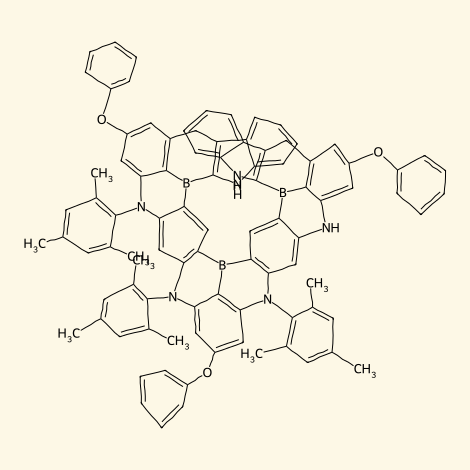 Cc1cc(C)c(N2c3cc4c(cc3B3c5[nH]c6ccccc6c5Cc5cc(Oc6ccccc6)cc2c53)B2c3cc5c(cc3N(c3c(C)cc(C)cc3C)c3cc(Oc6ccccc6)cc(c32)N4c2c(C)cc(C)cc2C)Nc2cc(Oc3ccccc3)cc3c2B5c2[nH]c4ccccc4c2C3)c(C)c1